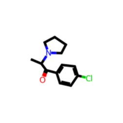 CC(C(=O)c1ccc(Cl)cc1)N1CCCC1